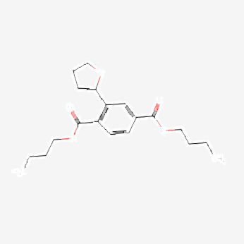 CCCCOC(=O)c1ccc(C(=O)OCCCC)c(C2CCCO2)c1